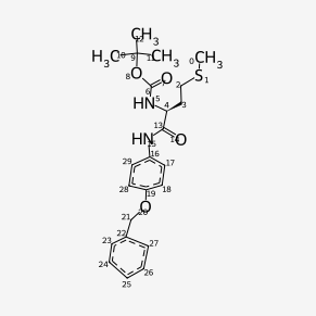 CSCC[C@H](NC(=O)OC(C)(C)C)C(=O)Nc1ccc(OCc2ccccc2)cc1